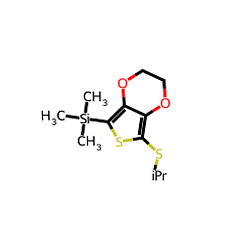 CC(C)Sc1sc([Si](C)(C)C)c2c1OCCO2